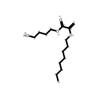 C=C(OCCCCCCCC)C(=O)OCCCCO